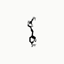 CC(C)c1ccc(C#Cc2cnc(C(C)C)s2)cn1